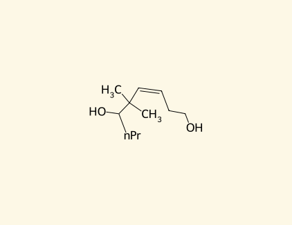 CCCC(O)C(C)(C)/C=C\CCO